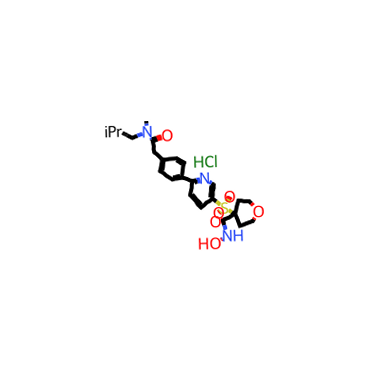 CC(C)CN(C)C(=O)Cc1ccc(-c2ccc(S(=O)(=O)C3(C(=O)NO)CCOCC3)cn2)cc1.Cl